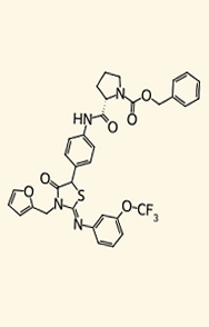 O=C(Nc1ccc(C2S/C(=N\c3cccc(OC(F)(F)F)c3)N(Cc3ccco3)C2=O)cc1)[C@@H]1CCCN1C(=O)OCc1ccccc1